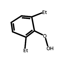 CCc1cccc(CC)c1OO